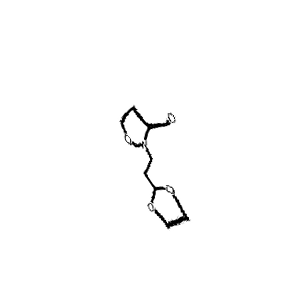 O=C1[CH]CON1CCC1OCCO1